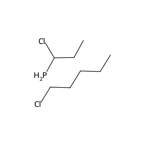 CCC(P)Cl.CCCCCCl